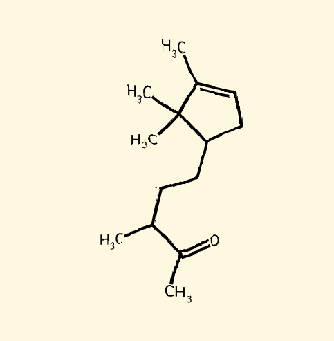 CC(=O)C(C)[CH]CC1CC=C(C)C1(C)C